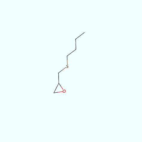 CCCCSCC1CO1